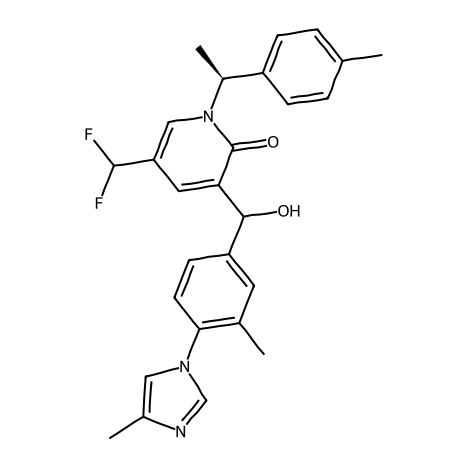 Cc1ccc([C@H](C)n2cc(C(F)F)cc(C(O)c3ccc(-n4cnc(C)c4)c(C)c3)c2=O)cc1